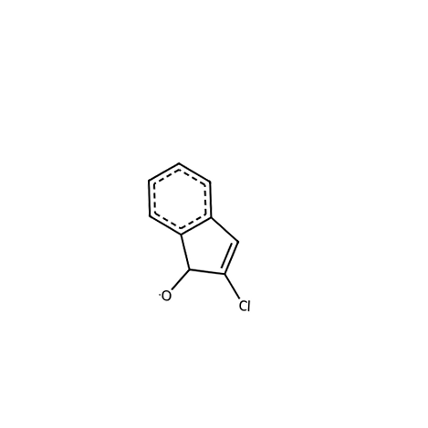 [O]C1C(Cl)=Cc2ccccc21